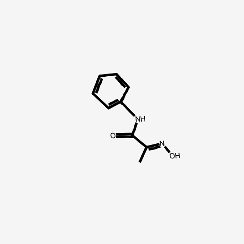 CC(=NO)C(=O)Nc1ccccc1